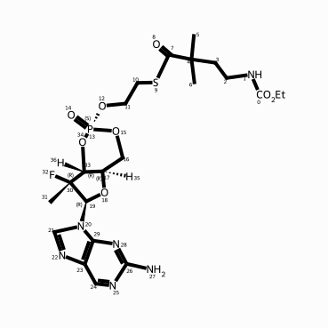 CCOC(=O)NCCC(C)(C)C(=O)SCCO[P@]1(=O)OC[C@H]2O[C@@H](n3cnc4cnc(N)nc43)[C@](C)(F)[C@@H]2O1